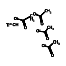 CC(=O)[O-].CC(=O)[O-].CC(=O)[O-].CC(=O)[O-].Cl.[Ti+4]